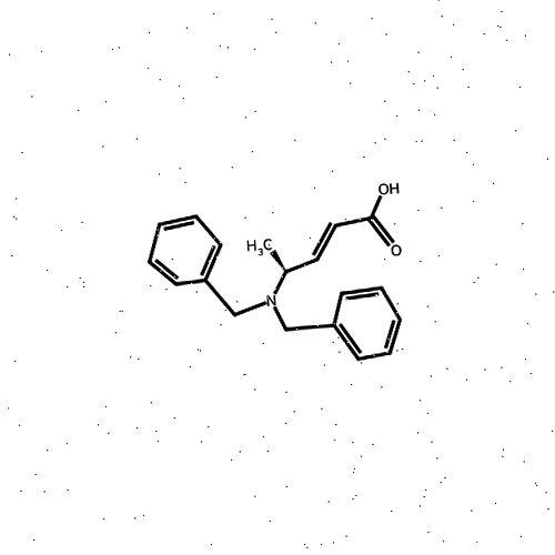 C[C@@H](/C=C/C(=O)O)N(Cc1ccccc1)Cc1ccccc1